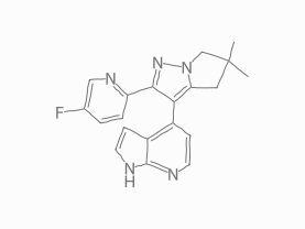 CC1(C)Cc2c(-c3ccnc4[nH]ccc34)c(-c3ccc(F)cn3)nn2C1